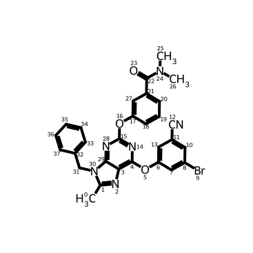 Cc1nc2c(Oc3cc(Br)cc(C#N)c3)nc(Oc3cccc(C(=O)N(C)C)c3)nc2n1Cc1ccccc1